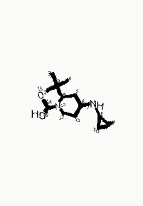 CC(C)(C)C1CC(NC2CC2)CCN1C(=O)O